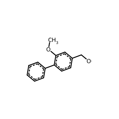 COc1cc(C[O])ccc1-c1ccccc1